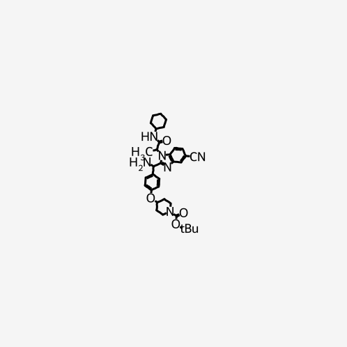 CC(C(=O)NC1CCCCC1)n1c(C(N)c2ccc(OC3CCN(C(=O)OC(C)(C)C)CC3)cc2)nc2cc(C#N)ccc21